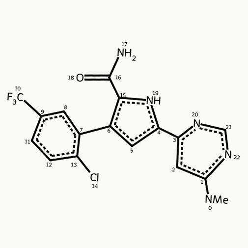 CNc1cc(-c2cc(-c3cc(C(F)(F)F)ccc3Cl)c(C(N)=O)[nH]2)ncn1